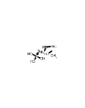 CCCCNCCCC.CO.O.O=P(O)(O)O